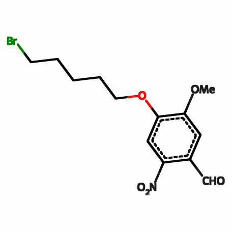 COc1cc(C=O)c([N+](=O)[O-])cc1OCCCCCBr